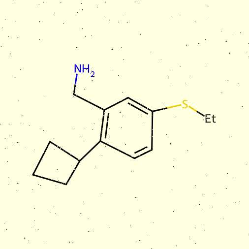 CCSc1ccc(C2CCC2)c(CN)c1